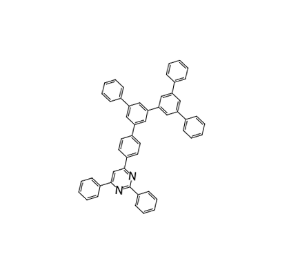 c1ccc(-c2cc(-c3ccccc3)cc(-c3cc(-c4ccccc4)cc(-c4ccc(-c5cc(-c6ccccc6)nc(-c6ccccc6)n5)cc4)c3)c2)cc1